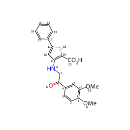 COc1ccc(C(=O)CNc2cc(-c3ccccc3)sc2C(=O)O)cc1OC